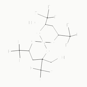 CCC1(C(F)(F)F)CC(C(F)(F)F)O[N+]2(OC(C(F)(F)F)C[C@](C)(C(F)(F)F)O2)O1